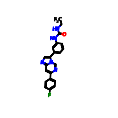 O=C(NCC(F)(F)F)Nc1cccc(-c2cnc3cc(-c4ccc(F)cc4)ncn23)c1